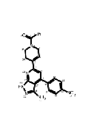 CC(C)C(=O)N1CC=C(c2cc(-c3ccc([N+](=O)[O-])cc3)c3c(N)n[nH]c3n2)CC1